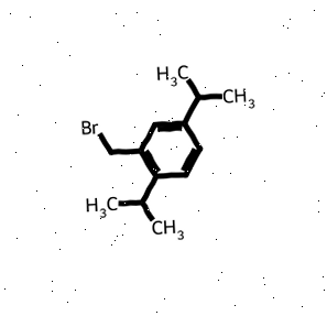 CC(C)c1ccc(C(C)C)c(CBr)c1